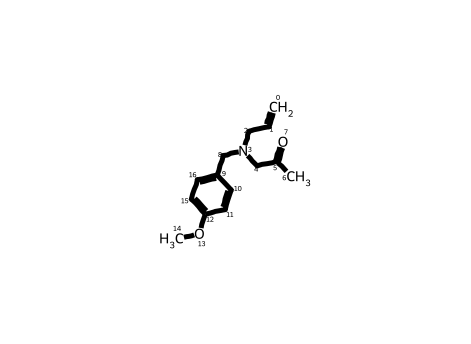 C=CCN(CC(C)=O)Cc1ccc(OC)cc1